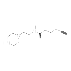 C#CCCCC(=O)NCCN1CCNCC1